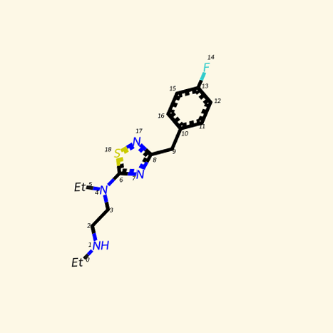 CCNCCN(CC)c1nc(Cc2ccc(F)cc2)ns1